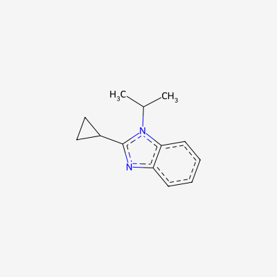 CC(C)n1c(C2CC2)nc2ccccc21